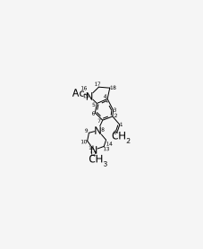 C=Cc1cc2c(cc1N1CCN(C)CC1)N(C(C)=O)CC2